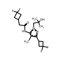 Cc1c(C2CC(F)(F)C2)nn(CC(C)(C)O)c1NC(=O)CC1CC(F)(F)C1